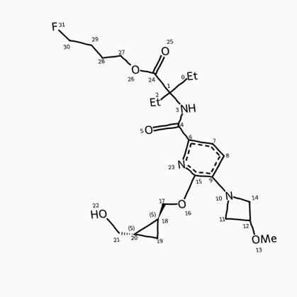 CCC(CC)(NC(=O)c1ccc(N2CC(OC)C2)c(OC[C@H]2C[C@@H]2CO)n1)C(=O)OCCCCF